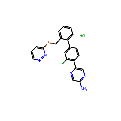 Cl.Nc1cnc(-c2ccc(-c3ccccc3CSc3cccnn3)cc2F)cn1